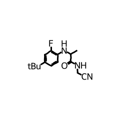 CC(Nc1ccc(C(C)(C)C)cc1F)C(=O)NCC#N